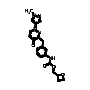 Cn1cc(-n2ccc(=O)c(Cc3cccc(NC(=O)OCC4CCO4)c3)n2)cn1